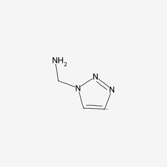 NCn1c[c]nn1